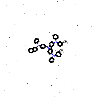 Cc1cccc(N(c2ccccc2)c2ccc3c(c2)c2cc(N(c4ccccc4)c4cccc(C)c4)ccc2n3-c2ccc(N(c3ccccc3)c3ccc4ccccc4c3)cc2)c1